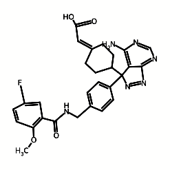 COc1ccc(F)cc1C(=O)NCc1ccc(C2(C3CCC(=CC(=O)O)CC3)N=Nc3ncnc(N)c32)cc1